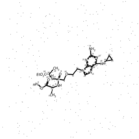 CCCOC(=O)[C@H](C)NP(=O)(COCCn1cnc2c(NC3CC3)nc(N)nc21)N[C@@H](C)C(=O)OCC